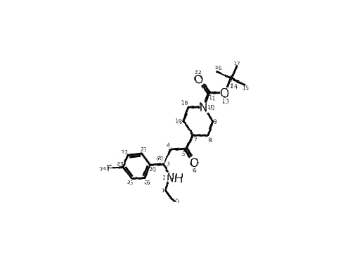 CCN[C@H](CC(=O)C1CCN(C(=O)OC(C)(C)C)CC1)c1ccc(F)cc1